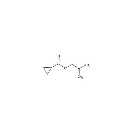 C=C(C)COC(=O)C1CC1